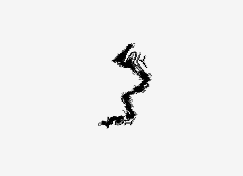 CC1CN1CC(O)COC(C)(C)CCCOC(C)(C)CCC(C)(C)OCCC(C)(C)OCC(O)CN1CC1C